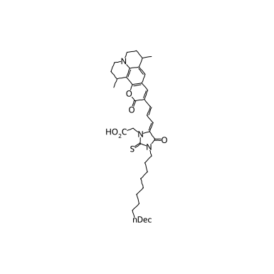 CCCCCCCCCCCCCCCCCCN1C(=O)C(=CC=Cc2cc3cc4c5c(c3oc2=O)C(C)CCN5CCC4C)N(CC(=O)O)C1=S